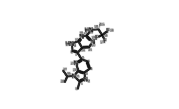 Cc1nc2ccc(-c3c[nH]c4nc(N[C@H](C)C(F)(F)F)ncc34)nc2n1C(C)C